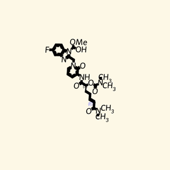 COC(O)n1c(Cn2cccc(NC(=O)[C@H](CC/C=C/C(=O)N(C)C)OC(=O)N(C)C)c2=O)nc2cc(F)ccc21